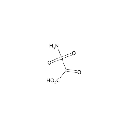 NS(=O)(=O)C(=O)C(=O)O